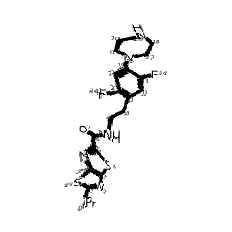 CC(C)c1nc2sc(C(=O)NCCc3cc(F)c(N4CCNCC4)cc3F)nc2s1